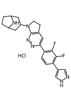 Cl.Fc1c(-c2cn[nH]c2)ccc(-c2cc3c(nn2)N(C2CC4CCC(C2)N4)CC3)c1F